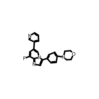 Fc1cc(-c2cccnc2)cn2c(-c3ccc(N4CCOCC4)cc3)cnc12